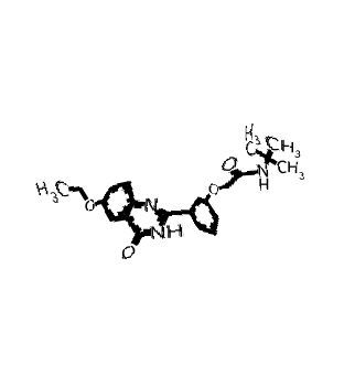 CCOc1ccc2nc(-c3cccc(OCC(=O)NC(C)(C)C)c3)[nH]c(=O)c2c1